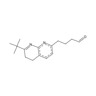 CC(C)(C)C1=Nc2nc(CCCC=O)ccc2CC1